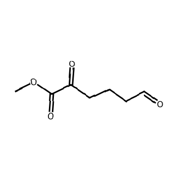 COC(=O)C(=O)CCCC=O